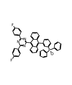 O=P(c1ccccc1)(c1ccccc1)c1cccc(-c2c3ccccc3c(-c3nc(-c4ccc(F)cc4)nc(-c4ccc(F)cc4)n3)c3ccccc23)c1